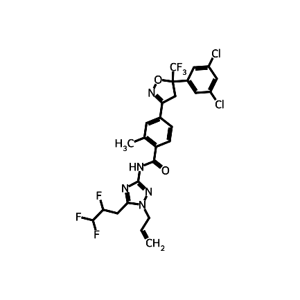 C=CCn1nc(NC(=O)c2ccc(C3=NOC(c4cc(Cl)cc(Cl)c4)(C(F)(F)F)C3)cc2C)nc1CC(F)C(F)F